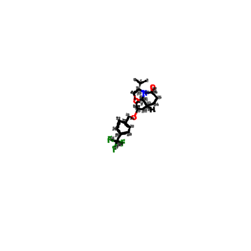 CC(C)[C@H]1CO[C@]23CC[C@H](OCc4ccc(C(F)(F)F)cc4)C[C@H]2CCC(=O)N13